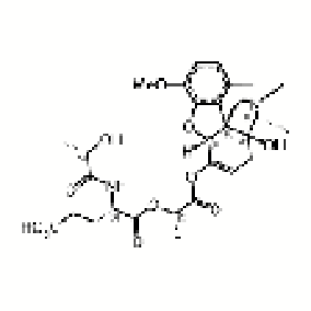 COc1ccc(C)c2c1O[C@H]1C(OC(=O)[C@H](C)OC(=O)[C@H](CCC(=O)O)NC(=O)[C@H](C)O)=CC[C@@]3(O)[C@@H](C)N(C)CC[C@]213